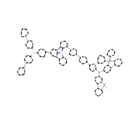 CC1(C)c2ccccc2-c2ccc(C(c3ccc(-c4ccc(-c5ccc(-c6cccc7c8cc(-c9ccc(N(c%10ccc(-c%11ccccc%11)cc%10)c%10ccc(-c%11ccccc%11)cc%10)cc9)cc9c%10ccccc%10n(c67)c98)cc5)cc4)cc3)c3ccc4c(c3)C(c3ccccc3)(c3ccccc3)c3ccccc3-4)cc21